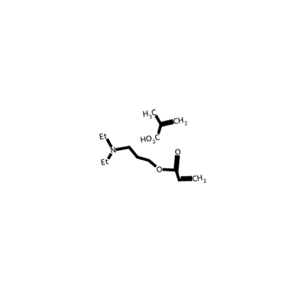 C=C(C)C(=O)O.C=CC(=O)OCCCN(CC)CC